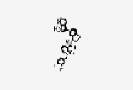 O=C(NC1CCCc2ccc(-c3c[nH]c4ncccc34)cc21)c1cccn(Cc2ccc(F)c(F)c2)c1=O